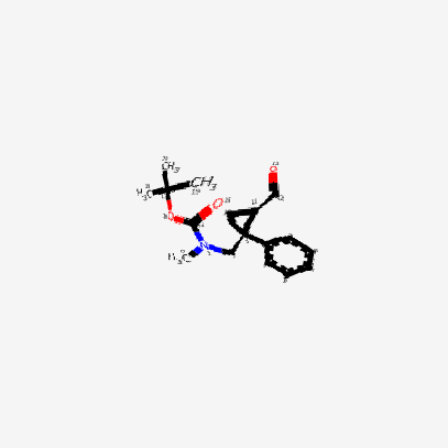 CN(C[C@@]1(c2ccccc2)C[C@H]1C=O)C(=O)OC(C)(C)C